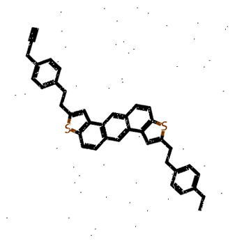 C#CCc1ccc(CCc2cc3c(ccc4cc5c(ccc6sc(CCc7ccc(CC)cc7)cc65)cc43)s2)cc1